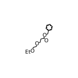 CCOCCOCCC(=O)OCc1ccccc1